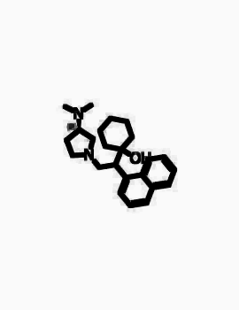 CN(C)[C@@H]1CCN(CC(c2cccc3ccccc23)C2(O)CCCCC2)C1